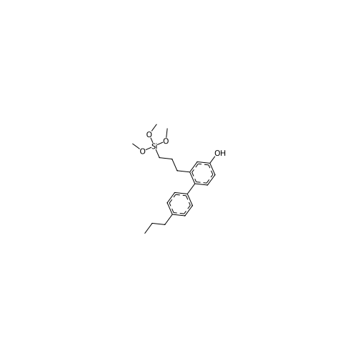 CCCc1ccc(-c2ccc(O)cc2CCC[Si](OC)(OC)OC)cc1